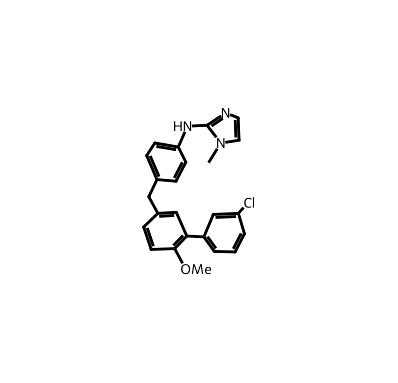 COc1ccc(Cc2ccc(Nc3nccn3C)cc2)cc1-c1cccc(Cl)c1